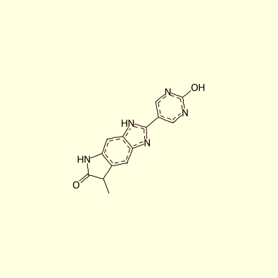 CC1C(=O)Nc2cc3[nH]c(-c4cnc(O)nc4)nc3cc21